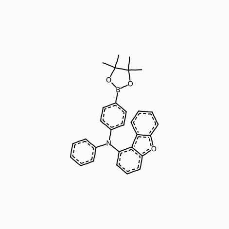 CC1(C)OB(c2ccc(N(c3ccccc3)c3cccc4oc5ccccc5c34)cc2)OC1(C)C